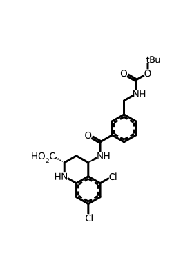 CC(C)(C)OC(=O)NCc1cccc(C(=O)N[C@@H]2C[C@@H](C(=O)O)Nc3cc(Cl)cc(Cl)c32)c1